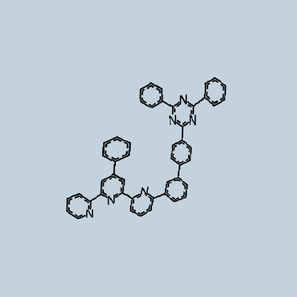 c1ccc(-c2cc(-c3ccccn3)nc(-c3cccc(-c4cccc(-c5ccc(-c6nc(-c7ccccc7)nc(-c7ccccc7)n6)cc5)c4)n3)c2)cc1